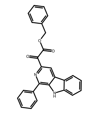 O=C(OCc1ccccc1)C(=O)c1cc2c([nH]c3ccccc32)c(-c2ccccc2)n1